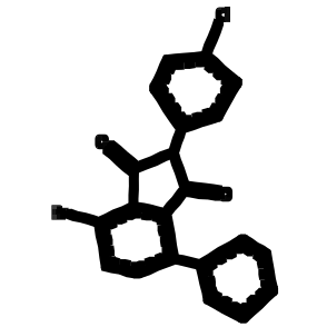 O=C1c2c(Br)ccc(-c3ccccc3)c2C(=O)C1c1ccc(Cl)cc1